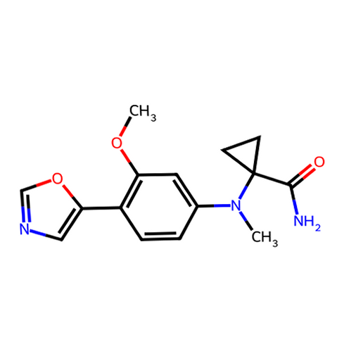 COc1cc(N(C)C2(C(N)=O)CC2)ccc1-c1cnco1